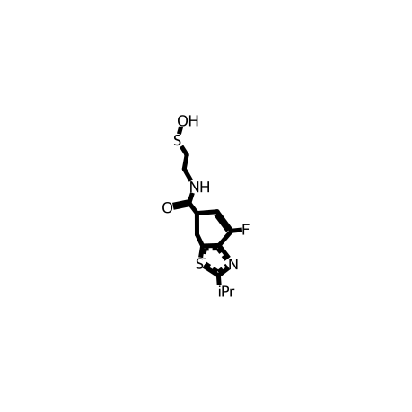 CC(C)c1nc2c(s1)CC(C(=O)NCCSO)C=C2F